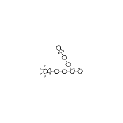 Fc1c(F)c(F)c2oc(-c3ccc(-c4ccc(-c5ccc(-c6ccccn6)nc5-c5ccc(-c6ccc(-c7nc8ccccc8o7)cc6)cc5)cc4)cc3)nc2c1F